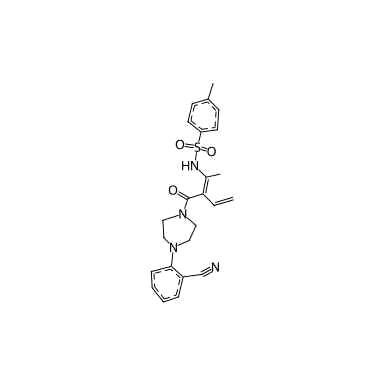 C=C/C(C(=O)N1CCN(c2ccccc2C#N)CC1)=C(\C)NS(=O)(=O)c1ccc(C)cc1